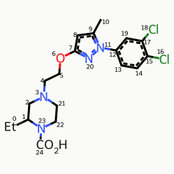 CCC1CN(CCOc2cc(C)n(-c3ccc(Cl)c(Cl)c3)n2)CCN1C(=O)O